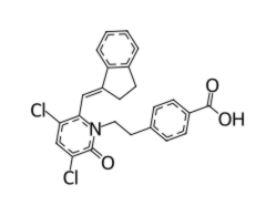 O=C(O)c1ccc(CCn2c(C=C3CCc4ccccc43)c(Cl)cc(Cl)c2=O)cc1